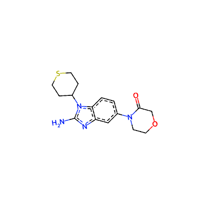 Nc1nc2cc(N3CCOCC3=O)ccc2n1C1CCSCC1